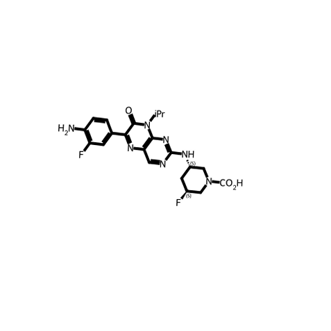 CC(C)n1c(=O)c(-c2ccc(N)c(F)c2)nc2cnc(N[C@H]3C[C@H](F)CN(C(=O)O)C3)nc21